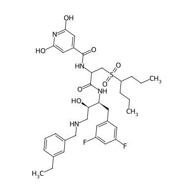 CCCC(CCC)S(=O)(=O)CC(NC(=O)c1cc(O)nc(O)c1)C(=O)N[C@@H](Cc1cc(F)cc(F)c1)[C@H](O)CNCc1cccc(CC)c1